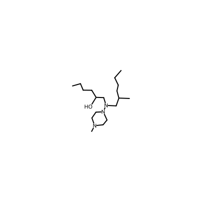 CCCCC(C)CN(CC(O)CCCC)N1CCN(C)CC1